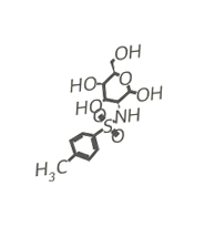 Cc1ccc(S(=O)(=O)N[C@H]2C(O)O[C@H](CO)[C@H](O)[C@@H]2O)cc1